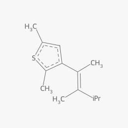 C/C(=C(/C)C(C)C)c1cc(C)sc1C